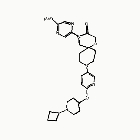 COc1cnc(N2CC3(CCN(c4ccc(OC5CCN(C6CCC6)CC5)nc4)CC3)OCC2=O)cn1